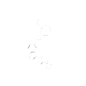 C[C@H]1CC[C@@H](NCC(F)(F)F)C[C@@H](COc2ccc3[nH]cc(NC(=O)C4(C)COC4)c3c2)C1